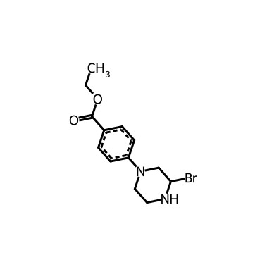 CCOC(=O)c1ccc(N2CCNC(Br)C2)cc1